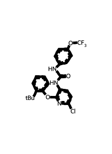 CC(C)(C)c1ccccc1Oc1nc(Cl)ccc1NC(=O)Nc1ccc(OC(F)(F)F)cc1